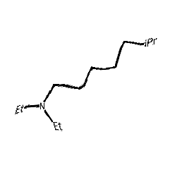 CCN(CC)CCCCCC(C)C